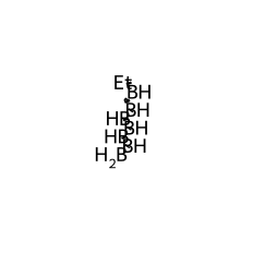 BBBBBBCBCC